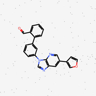 O=Cc1ccccc1-c1cccc(-n2cnc3cc(-c4ccoc4)cnc32)c1